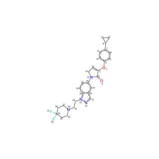 O=C1C(Oc2ccc(C3CC3)cc2)=CCN1c1ccc2c(cnn2CCN2CCC(F)(F)CC2)c1